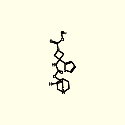 CC(C)(C)OC(=O)N1CC(NC(=O)O[C@H]2CN3CCC2CC3)(c2cccs2)C1